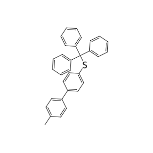 Cc1ccc(-c2ccc(SC(c3ccccc3)(c3ccccc3)c3ccccc3)cc2)cc1